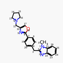 Cn1c(Cc2ccc(-c3nc(CN4CCCC4)co3)cc2)nc2ccccc21